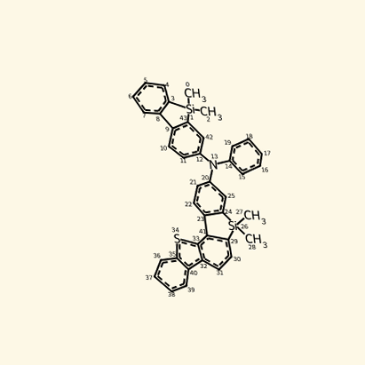 C[Si]1(C)c2ccccc2-c2ccc(N(c3ccccc3)c3ccc4c(c3)[Si](C)(C)c3ccc5c(sc6ccccc65)c3-4)cc21